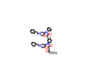 CCC1OC2(CCN(CCc3ccccc3)CC2)CN(c2ccccc2)C1=O.COC(=O)CC1OC2(CCN(CCc3ccccc3)CC2)CN(c2ccccc2)C1=O